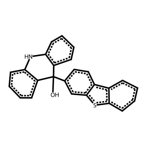 OC1(c2ccc3c(c2)sc2ccccc23)c2ccccc2Nc2ccccc21